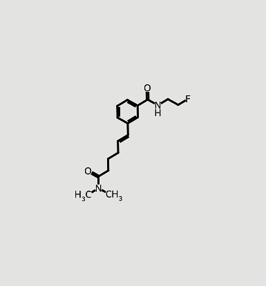 CN(C)C(=O)CCCC=Cc1cccc(C(=O)NCCF)c1